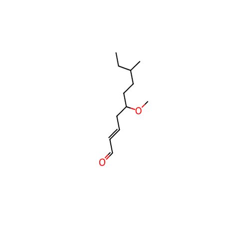 CCC(C)CCC(C/C=C/C=O)OC